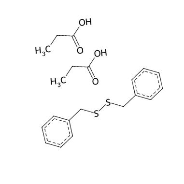 CCC(=O)O.CCC(=O)O.c1ccc(CSSCc2ccccc2)cc1